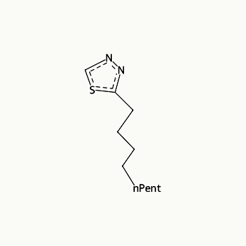 CCCCCCCCCc1nncs1